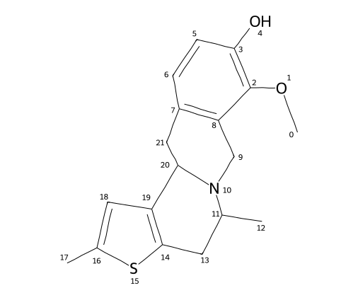 COc1c(O)ccc2c1CN1C(C)Cc3sc(C)cc3C1C2